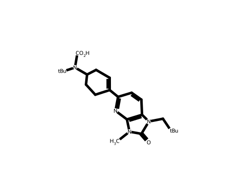 Cn1c(=O)n(CC(C)(C)C)c2ccc(C3=CCC(N(C(=O)O)C(C)(C)C)CC3)nc21